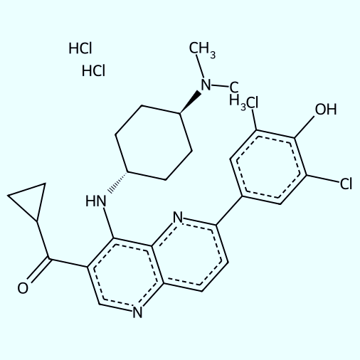 CN(C)[C@H]1CC[C@H](Nc2c(C(=O)C3CC3)cnc3ccc(-c4cc(Cl)c(O)c(Cl)c4)nc23)CC1.Cl.Cl